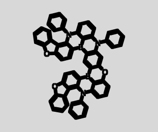 c1ccc(N2c3cc4c(cc3B3c5ccc6oc7ccccc7c6c5N(c5ccccc5)c5cccc2c53)B2c3ccc5oc6ccccc6c5c3N(c3ccccc3)c3cccc(c32)O4)cc1